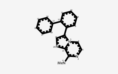 CNc1nccn2c(-c3ccccc3-c3ccccc3)cnc12